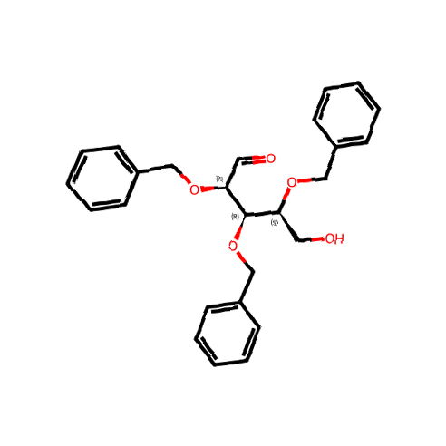 O=C[C@H](OCc1ccccc1)[C@H](OCc1ccccc1)[C@H](CO)OCc1ccccc1